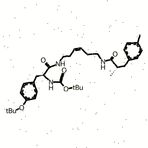 Cc1ccc(C[C@H](C)C(=O)NCC/C=C\CCNC(=O)[C@H](Cc2ccc(OC(C)(C)C)cc2)NC(=O)OC(C)(C)C)cc1